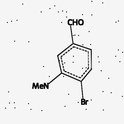 CNc1cc(C=O)ccc1Br